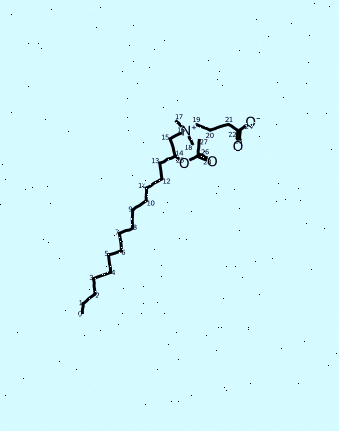 CCCCCCCCCCCCCCC(C[N+](C)(C)CCCC(=O)[O-])OC(C)=O